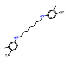 Cc1cc(NCCCCCCCNc2ccc([N+](=O)[O-])c(C)c2)ccc1[N+](=O)[O-]